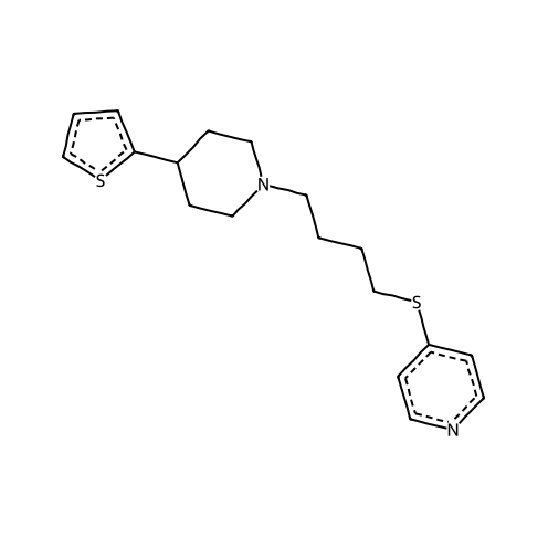 c1csc(C2CCN(CCCCSc3ccncc3)CC2)c1